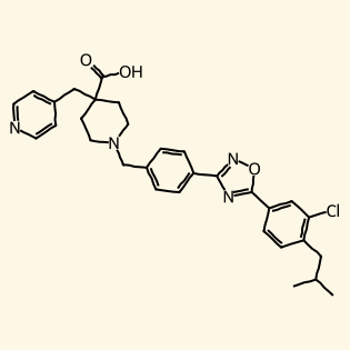 CC(C)Cc1ccc(-c2nc(-c3ccc(CN4CCC(Cc5ccncc5)(C(=O)O)CC4)cc3)no2)cc1Cl